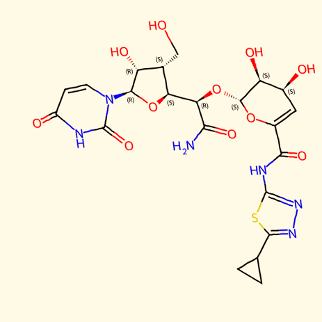 NC(=O)[C@H](O[C@H]1OC(C(=O)Nc2nnc(C3CC3)s2)=C[C@H](O)[C@@H]1O)[C@H]1O[C@@H](n2ccc(=O)[nH]c2=O)[C@H](O)[C@@H]1CO